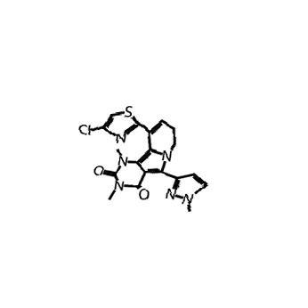 Cn1ccc(-c2c3c(=O)n(C)c(=O)n(C)c3c3n2CCC=C3c2nc(Cl)cs2)n1